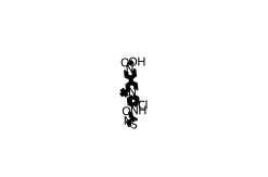 CC(C)(C)C1CC(C2CCN(C(=O)O)CC2)CCN1c1ccc(NC(=O)c2cscn2)c(Cl)c1